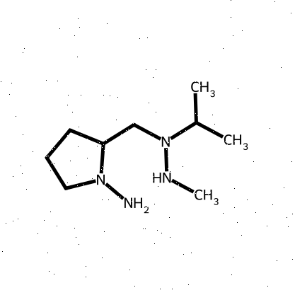 CNN(CC1CCCN1N)C(C)C